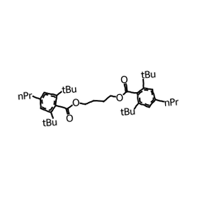 CCCc1cc(C(C)(C)C)c(C(=O)OCCCCOC(=O)c2c(C(C)(C)C)cc(CCC)cc2C(C)(C)C)c(C(C)(C)C)c1